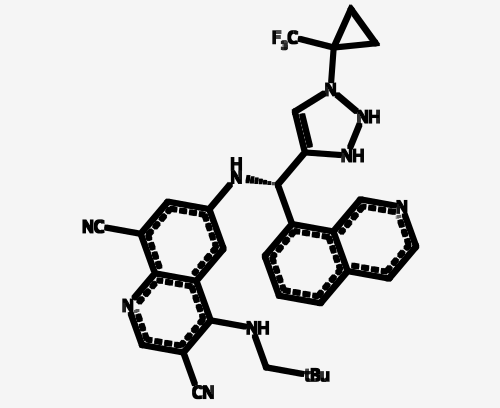 CC(C)(C)CNc1c(C#N)cnc2c(C#N)cc(N[C@H](C3=CN(C4(C(F)(F)F)CC4)NN3)c3cccc4ccncc34)cc12